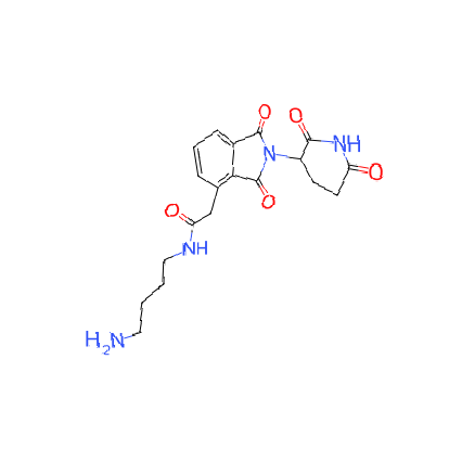 NCCCCNC(=O)Cc1cccc2c1C(=O)N(C1CCC(=O)NC1=O)C2=O